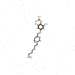 CCCCCCC[SiH]1CCC(COc2cc(F)c(OC(F)F)c(F)c2)CC1